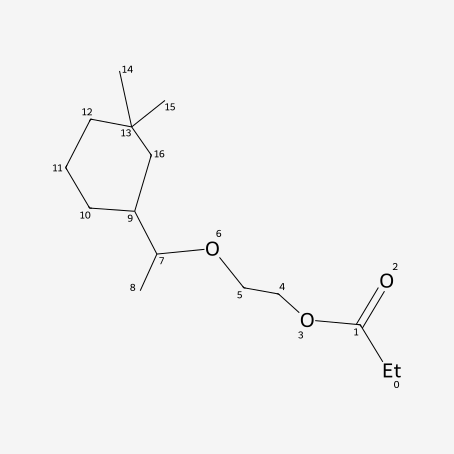 CCC(=O)OCCOC(C)C1CCCC(C)(C)C1